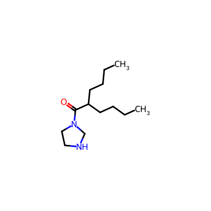 CCCCC(CCCC)C(=O)N1CCNC1